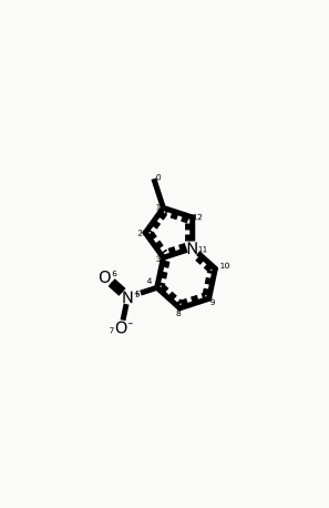 Cc1cc2c([N+](=O)[O-])cccn2c1